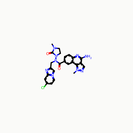 CN1CCN(N(Cc2cn3ccc(Cl)cc3n2)C(=O)c2ccc3nc(N)c4cnn(C)c4c3c2)C1=O